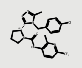 Cc1nc(C(F)(F)F)ccc1NC(=O)N1CCC[C@@H]1c1nnc(C)n1Cc1ccc(Cl)cc1